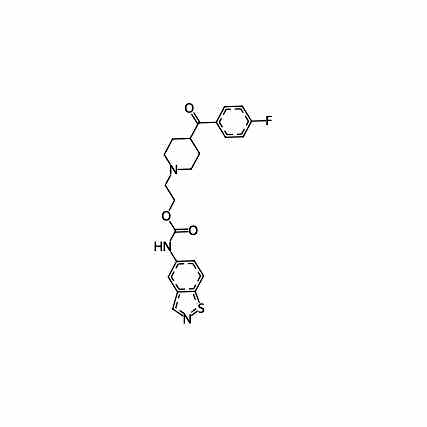 O=C(Nc1ccc2sncc2c1)OCCN1CCC(C(=O)c2ccc(F)cc2)CC1